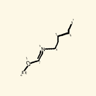 CCOC=NCCCI